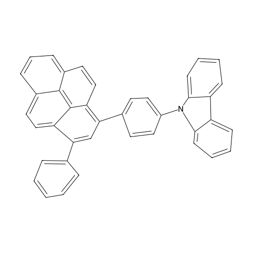 c1ccc(-c2cc(-c3ccc(-n4c5ccccc5c5ccccc54)cc3)c3ccc4cccc5ccc2c3c54)cc1